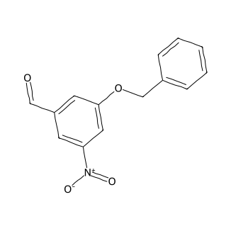 O=Cc1cc(OCc2ccccc2)cc([N+](=O)[O-])c1